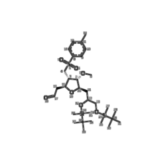 CO[C@H]1[C@@H](CS(=O)(=O)c2ccc(C)cc2)[C@H](CC=O)O[C@@H]1CC(CO[Si](C)(C)C(C)(C)C)O[Si](C)(C)C(C)(C)C